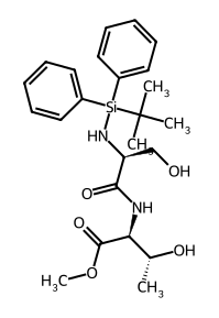 COC(=O)[C@@H](NC(=O)[C@H](CO)N[Si](c1ccccc1)(c1ccccc1)C(C)(C)C)[C@@H](C)O